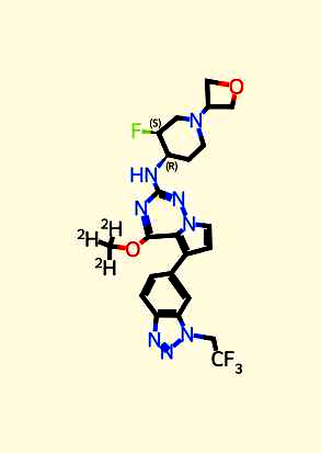 [2H]C([2H])([2H])Oc1nc(N[C@@H]2CCN(C3COC3)C[C@@H]2F)nn2ccc(-c3ccc4nnn(CC(F)(F)F)c4c3)c12